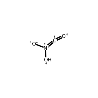 O=C=[N+]([O-])O